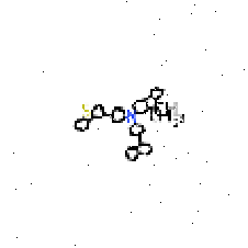 CC1(C)c2ccccc2-c2ccc(N(c3ccc(-c4ccc5sc6ccccc6c5c4)cc3)c3ccc(-c4cccc5ccccc45)cc3)cc21